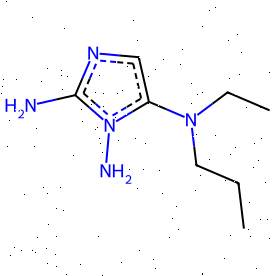 CCCN(CC)c1cnc(N)n1N